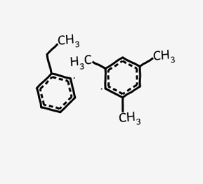 CCc1[c]cccc1.Cc1[c]c(C)cc(C)c1